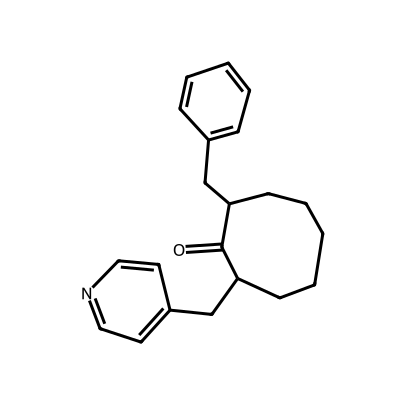 O=C1C(Cc2ccccc2)CCCCCC1Cc1ccncc1